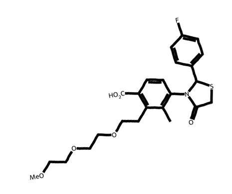 COCCOCCOCCc1c(C(=O)O)ccc(N2C(=O)CSC2c2ccc(F)cc2)c1C